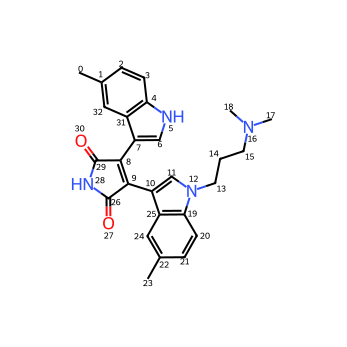 Cc1ccc2[nH]cc(C3=C(c4cn(CCCN(C)C)c5ccc(C)cc45)C(=O)NC3=O)c2c1